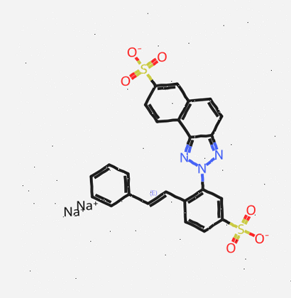 O=S(=O)([O-])c1ccc(/C=C/c2ccccc2)c(-n2nc3ccc4cc(S(=O)(=O)[O-])ccc4c3n2)c1.[Na+].[Na+]